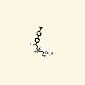 N=S(=O)(CCC(c1ccc(-c2cnc(C3CC3)nc2)cc1)C(F)(F)F)CC[C@H](N)C(=O)O